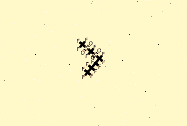 O=S(=O)(C(F)(F)F)C(F)(F)S(=O)(=O)C(F)(F)C(F)(F)C(F)(F)C(F)(F)F